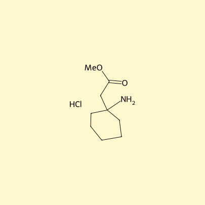 COC(=O)CC1(N)CCCCC1.Cl